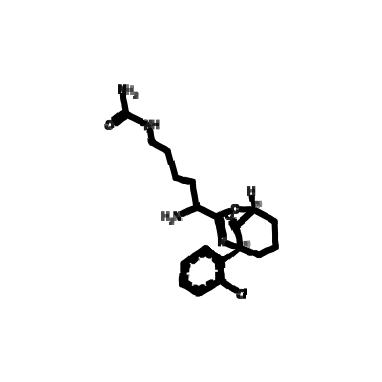 NC(=O)NCCCCC(N)C1=N[C@@]2(c3ccccc3Cl)CCC[C@@H](O1)C2=O